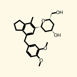 COc1ccc(Cc2cc([C@H]3C[C@@H](O)C[C@@H](CO)O3)c(C)c3c2CCC3)cc1OC